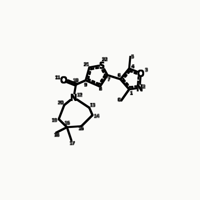 Cc1noc(C)c1-c1cc(C(=O)N2CCCC(C)(C)CC2)cs1